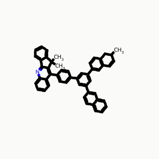 CC1C=Cc2cc(-c3cc(-c4ccc(-c5c6c(nc7ccccc57)-c5ccccc5C6(C)C)cc4)cc(-c4ccc5ccccc5c4)c3)ccc2C1